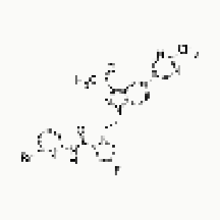 CC(=O)c1nn(CCN2C[C@H](F)C[C@H]2C(=O)Nc2cccc(Br)n2)c2ccc(-c3cnc(C)nc3)cc12